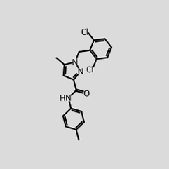 Cc1ccc(NC(=O)c2cc(C)n(Cc3c(Cl)cccc3Cl)n2)cc1